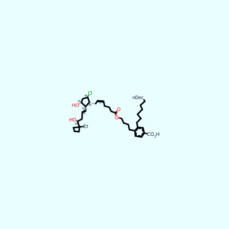 CCCCCCCCCCCCCCCCc1cc(C(=O)O)ccc1CCCCOC(=O)CCC/C=C\C[C@@H]1[C@@H](/C=C/C[C@H](O)C2(CC)CCC2)[C@H](O)C[C@H]1Cl